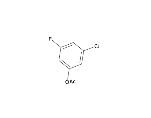 CC(=O)Oc1cc(F)cc(Cl)c1